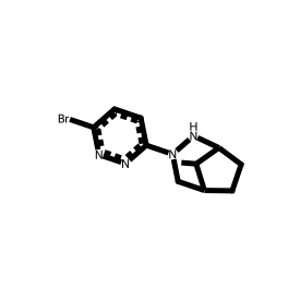 CC1C2CCC1NN(c1ccc(Br)nn1)C2